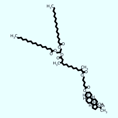 CCCCCCCCCCCCCCCC(=O)OCC(COC(=O)CCCCCCCCCCCCCCC)OC(=O)CC(C)CCCCCCCC(C)C(=O)OCCCCC(=O)O[C@@H]1CC[C@@]2(C)[C@@H](CC[C@@H]3[C@@H]2CC[C@]2(C)[C@@H](C(C)=O)CC[C@@H]32)C1